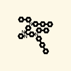 c1ccc(-c2ccc(-c3ccc(N(c4ccc(-c5nc6ccccc6nc5-c5ccc(N(c6ccc(-c7ccc(-c8ccccc8)cc7)cc6)c6cccc(-c7ccccc7)c6)cc5)cc4)c4cccc(-c5ccccc5)c4)cc3)cc2)cc1